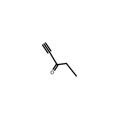 C#CC(=O)CC